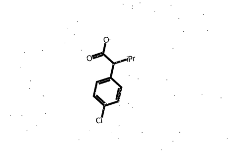 CC(C)C(C([O])=O)c1ccc(Cl)cc1